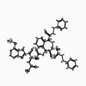 COc1cccc2nc(C(=O)[C@H](CC(=O)O)NC(=O)CN3C(=O)[C@@H](NC(=O)CCc4ccccc4)CN(C(=O)CCc4ccccc4)c4ccccc43)oc12